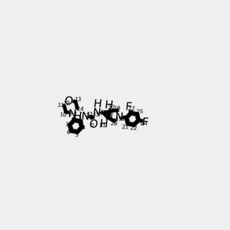 O=C(Nc1ccccc1N1CCOCC1)N[C@H]1[C@@H]2CN(c3ccc(F)cc3F)C[C@@H]21